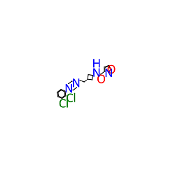 O=C(N[C@H]1C[C@H](CCN2CCN(c3cccc(Cl)c3Cl)CC2)C1)c1ccon1